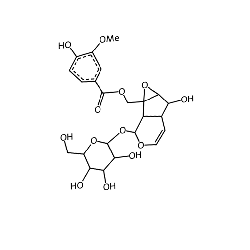 COc1cc(C(=O)OCC23OC2C(O)C2C=COC(OC4OC(CO)C(O)C(O)C4O)C23)ccc1O